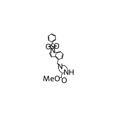 COC(=O)C1CN(Cc2cccc3c2ccn3S(=O)(=O)c2ccccc2)CCN1